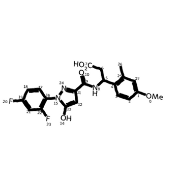 COc1ccc(C(CC(=O)O)NC(=O)c2cc(O)n(-c3ccc(F)cc3F)n2)c(C)c1